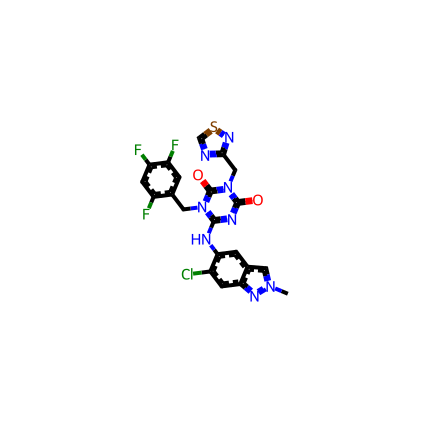 Cn1cc2cc(Nc3nc(=O)n(Cc4ncsn4)c(=O)n3Cc3cc(F)c(F)cc3F)c(Cl)cc2n1